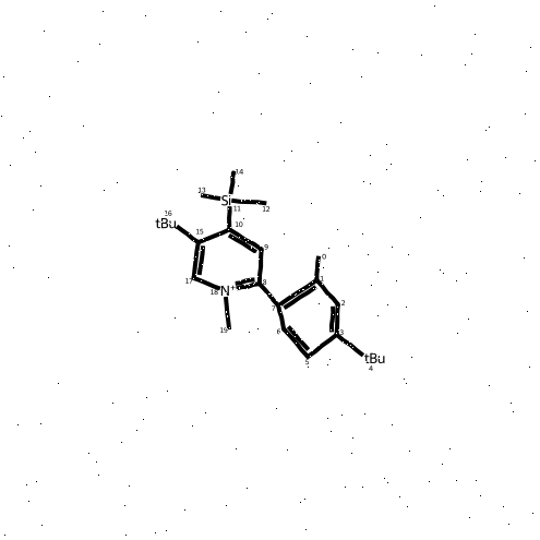 Cc1cc(C(C)(C)C)ccc1-c1cc([Si](C)(C)C)c(C(C)(C)C)c[n+]1C